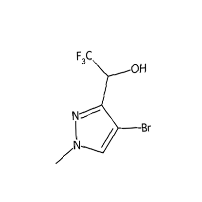 Cn1cc(Br)c(C(O)C(F)(F)F)n1